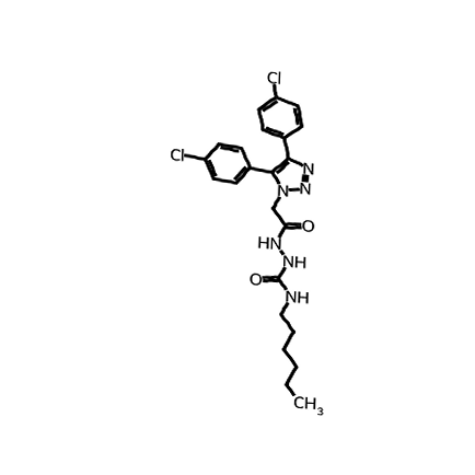 CCCCCCNC(=O)NNC(=O)Cn1nnc(-c2ccc(Cl)cc2)c1-c1ccc(Cl)cc1